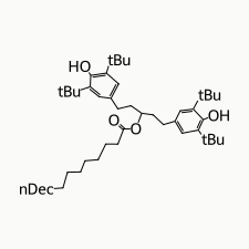 CCCCCCCCCCCCCCCCCC(=O)OC(CCc1cc(C(C)(C)C)c(O)c(C(C)(C)C)c1)CCc1cc(C(C)(C)C)c(O)c(C(C)(C)C)c1